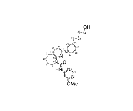 COc1cc(NC(=O)N2CCCCc3ccc(-c4cccc(CCCCO)c4)nc32)ncn1